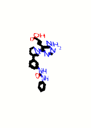 Nc1ncnc(N2CCCC(c3cccc(NC(=O)Nc4ccccc4)c3)C2)c1/C=C/C(=O)O